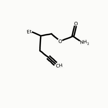 C#CCC(CC)COC(N)=O